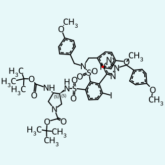 COc1ccc(CN(Cc2ccc(OC)cc2)S(=O)(=O)c2c(S(=O)(=O)N[C@H]3CN(C(=O)OC(C)(C)C)C[C@@H]3NC(=O)OC(C)(C)C)ccc(I)c2-c2nnn(Cc3ccc(OC)cc3)n2)cc1